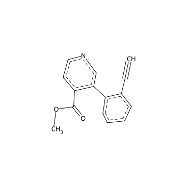 C#Cc1ccccc1-c1cnccc1C(=O)OC